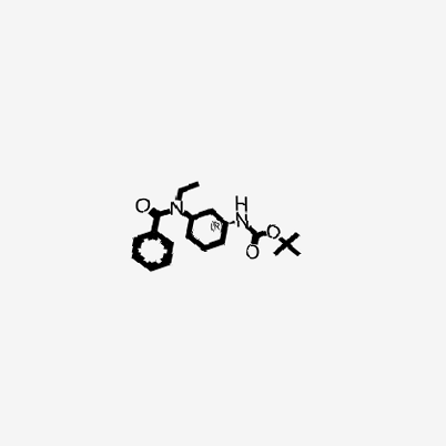 CCN(C(=O)c1ccccc1)C1CCC[C@@H](NC(=O)OC(C)(C)C)C1